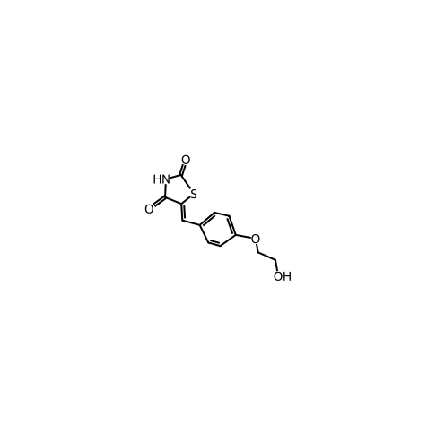 O=C1NC(=O)C(=Cc2ccc(OCCO)cc2)S1